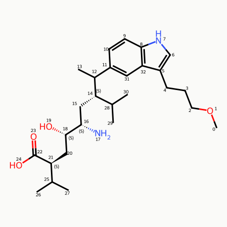 COCCCc1c[nH]c2ccc(C(C)[C@@H](C[C@H](N)[C@@H](O)C[C@H](C(=O)O)C(C)C)C(C)C)cc12